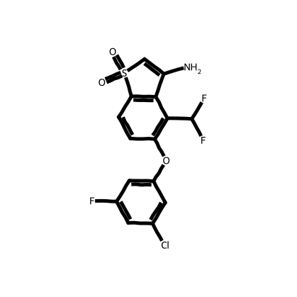 NC1=CS(=O)(=O)c2ccc(Oc3cc(F)cc(Cl)c3)c(C(F)F)c21